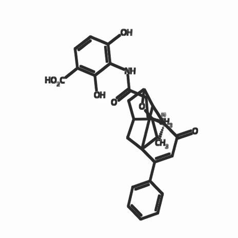 CC12CC34CC1CC(O2)C3[C@](C)(CCC(=O)Nc1c(O)ccc(C(=O)O)c1O)C(=O)C=C4c1ccccc1